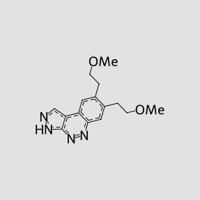 COCCc1cc2nnc3[nH]ncc3c2cc1CCOC